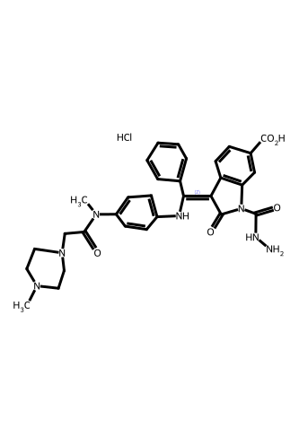 CN1CCN(CC(=O)N(C)c2ccc(N/C(=C3\C(=O)N(C(=O)NN)c4cc(C(=O)O)ccc43)c3ccccc3)cc2)CC1.Cl